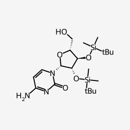 CC(C)(C)[Si](C)(C)O[C@H]1[C@H](O[Si](C)(C)C(C)(C)C)[C@@H](CO)O[C@H]1n1ccc(N)nc1=O